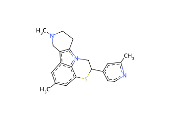 Cc1cc2c3c(c1)c1c(n3CC(c3ccnc(C)c3)S2)CCN(C)C1